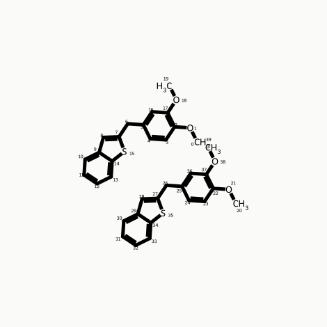 COc1ccc(Cc2cc3ccccc3s2)cc1OC.COc1ccc(Cc2cc3ccccc3s2)cc1OC